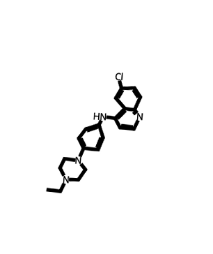 CCN1CCN(c2ccc(Nc3ccnc4ccc(Cl)cc34)cc2)CC1